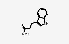 CNC(=O)CCc1c[nH]c2ncccc12